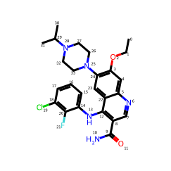 CCOc1cc2ncc(C(N)=O)c(Nc3cccc(Cl)c3F)c2cc1N1CCN(C(C)C)CC1